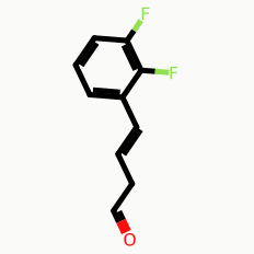 O=CCC=Cc1cccc(F)c1F